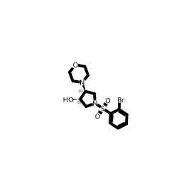 O=S(=O)(c1ccccc1Br)N1C[C@H](O)[C@@H](N2CCOCC2)C1